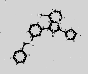 Nc1ncnn2c(-c3cccs3)nc(-c3cccc(OCc4ccccc4)c3)c12